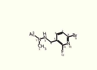 CC(=O)N(C)NCc1ccc(Br)nc1F